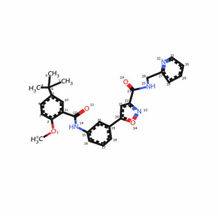 COc1ccc(C(C)(C)C)cc1C(=O)Nc1cccc(-c2cc(C(=O)NCc3ccccn3)no2)c1